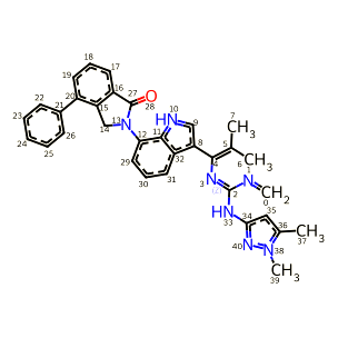 C=N/C(=N\C(=C(C)C)c1c[nH]c2c(N3Cc4c(cccc4-c4ccccc4)C3=O)cccc12)Nc1cc(C)n(C)n1